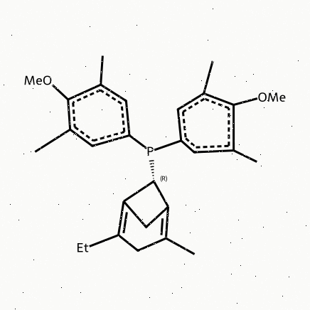 CCC1=C2CC(=C(C)C1)[C@H]2P(c1cc(C)c(OC)c(C)c1)c1cc(C)c(OC)c(C)c1